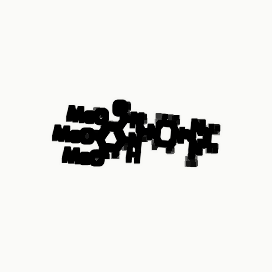 COc1cc2[nH]c(N3CCN(c4nccn4C)CC3)nc(=O)c2c(OC)c1OC